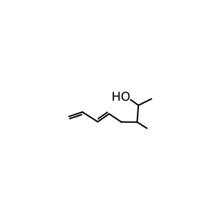 C=CC=CCC(C)C(C)O